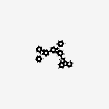 c1ccc(-n2c3ccccc3c3cc(-c4ccc5c(c4)c4cc(-c6cc7c8c(cccc8n6)-c6cccnc6-7)ccc4n5-c4ccccc4)ccc32)cc1